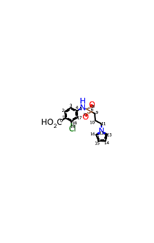 O=C(O)c1ccc(NS(=O)(=O)CCCn2cccc2)cc1Cl